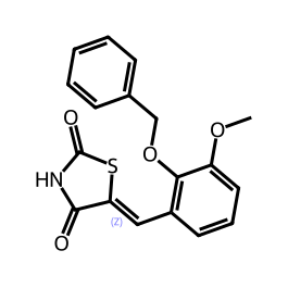 COc1cccc(/C=C2\SC(=O)NC2=O)c1OCc1ccccc1